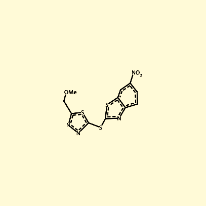 COCc1nnc(Sc2nc3ccc([N+](=O)[O-])cc3s2)s1